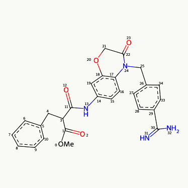 COC(=O)C(Cc1ccccc1)C(=O)Nc1ccc2c(c1)OCC(=O)N2Cc1ccc(C(=N)N)cc1